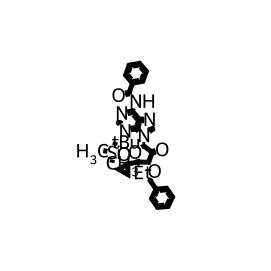 CC[C@@]1(C2(O[Si](C)(C)C(C)(C)C)CC2)O[C@@H](n2cnc3c(NC(=O)c4ccccc4)ncnc32)C(=O)[C@H]1OCc1ccccc1